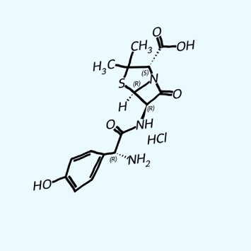 CC1(C)S[C@@H]2[C@H](NC(=O)[C@H](N)c3ccc(O)cc3)C(=O)N2[C@H]1C(=O)O.Cl